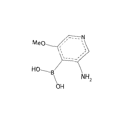 COc1cncc(N)c1B(O)O